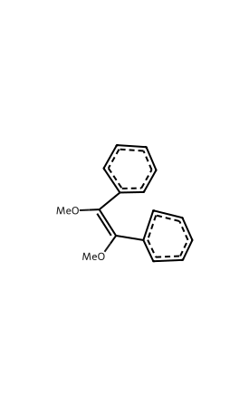 CO/C(=C(\OC)c1ccccc1)c1ccccc1